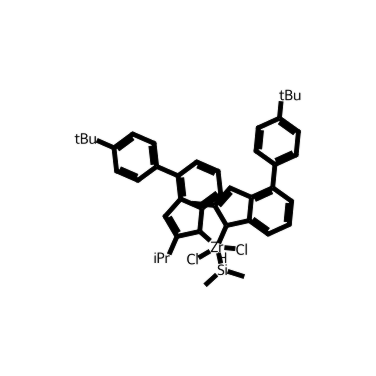 CC1=Cc2c(-c3ccc(C(C)(C)C)cc3)cccc2[CH]1[Zr]([Cl])([Cl])([CH]1C(C(C)C)=Cc2c(-c3ccc(C(C)(C)C)cc3)cccc21)[SiH](C)C